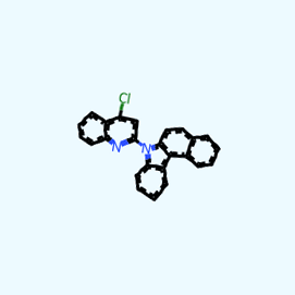 Clc1cc(-n2c3ccccc3c3c4ccccc4ccc32)nc2ccccc12